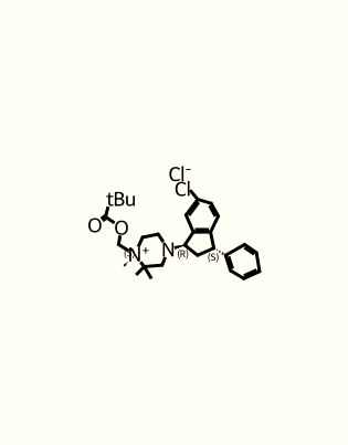 CC(C)(C)C(=O)OC[N@@+]1(C)CCN([C@@H]2C[C@@H](c3ccccc3)c3ccc(Cl)cc32)CC1(C)C.[Cl-]